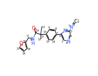 [C-]#[N+]c1cncc(-c2ccc(C(C)(C)C(=O)NCc3ccco3)cc2)n1